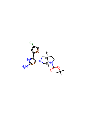 CC(C)(C)OC(=O)N1CC[C@@H]2CN(c3sc(N)nc3-c3cc(Cl)cs3)C[C@@]21C